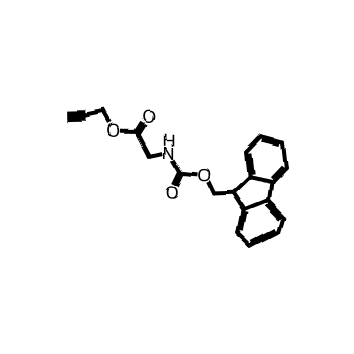 C#CCOC(=O)CNC(=O)OCC1c2ccccc2-c2ccccc21